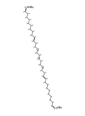 CCCC/C=C\CCCCCCCC/C=C/CCOCCOCCOCC/C=C/CCCCCCCC/C=C\CCCC